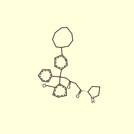 O=C(CC(=O)[C@@H]1CCCN1)CC(c1ccccc1)(c1ccc(C2CCCCCCCC2)cc1)c1ccccc1Cl